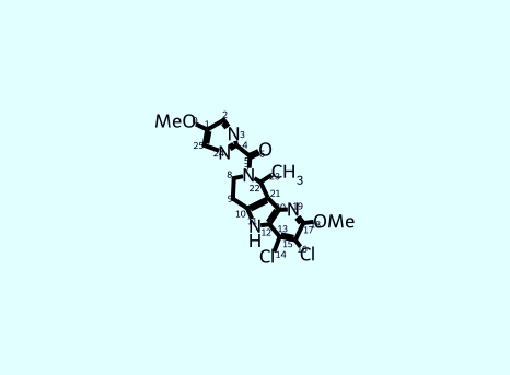 COc1cnc(C(=O)N2CCc3[nH]c4c(Cl)c(Cl)c(OC)nc4c3C2C)nc1